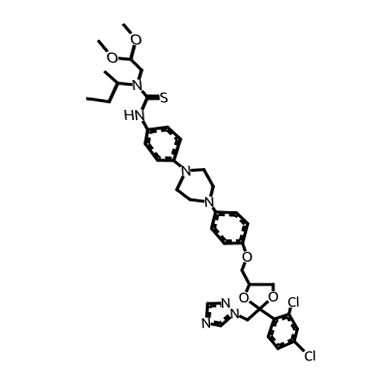 CCC(C)N(CC(OC)OC)C(=S)Nc1ccc(N2CCN(c3ccc(OCC4COC(Cn5cncn5)(c5ccc(Cl)cc5Cl)O4)cc3)CC2)cc1